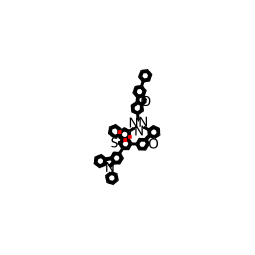 c1ccc(-c2ccc3c(c2)oc2cc(-c4nc(-c5ccccc5)nc(-c5cccc6oc7ccc(-c8cc(-c9ccc%10c(c9)c9ccccc9n%10-c9ccccc9)c9sc%10ccccc%10c9c8)cc7c56)n4)ccc23)cc1